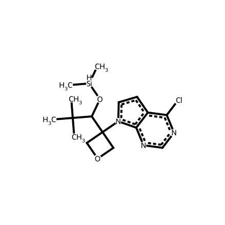 C[SiH](C)OC(C(C)(C)C)C1(n2ccc3c(Cl)ncnc32)COC1